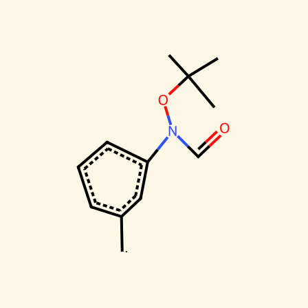 [CH2]c1cccc(N(C=O)OC(C)(C)C)c1